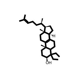 CCC1(CC)C2CCC3=C(CC[C@]4(C)[C@@H]([C@H](C)CCC=C(C)C)CC[C@@H]34)[C@@]2(C)CC[C@@H]1O